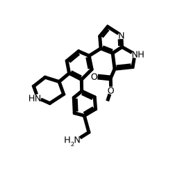 COC(=O)c1c[nH]c2nccc(-c3ccc(C4CCNCC4)c(-c4ccc(CN)cc4)c3)c12